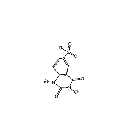 CCn1c(=O)c2cc(S(=O)(=O)Cl)ccc2n(CC)c1=O